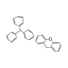 c1ccc(C(c2ccccc2)c2ccccc2)cc1.c1ccc2c(c1)Cc1ccccc1O2